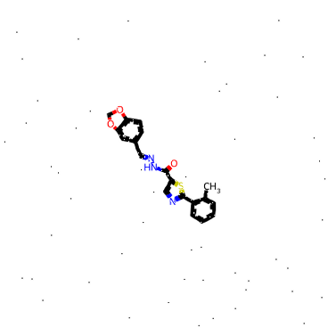 Cc1ccccc1-c1ncc(C(=O)N/N=C/c2ccc3c(c2)OCO3)s1